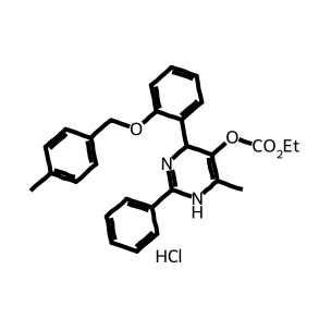 CCOC(=O)OC1=C(C)NC(c2ccccc2)=NC1c1ccccc1OCc1ccc(C)cc1.Cl